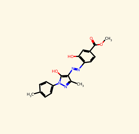 COC(=O)c1ccc(N=Nc2c(C)nn(-c3ccc(C)cc3)c2O)c(O)c1